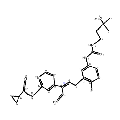 COC(C)(C)CCNC(=O)Nc1cnc(C)c(C/C=C(\C=N)c2ccnc(NC(=O)C3CC3)c2)c1